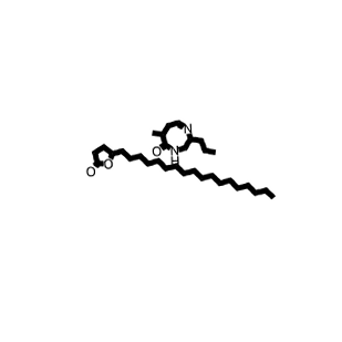 CCCC1CNC(=O)C(C)CC=N1.CCCCCCCCCCCCCCCCCCC1CCC(=O)O1